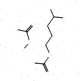 CCOC(=O)C(N)CCCNC(=N)N.N=C(N)NN